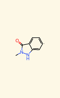 Cn1[nH]c2c[c]ccc2c1=O